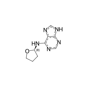 c1nc(N[C@H]2CCCO2)c2nc[nH]c2n1